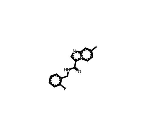 Cc1ccn2c(C(=O)NCc3ccccc3F)cnc2c1